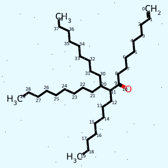 C=CCCCCCCCC(=O)C(CCCCCCCC)C(CCCCCCCCC)CCCCCCCCC